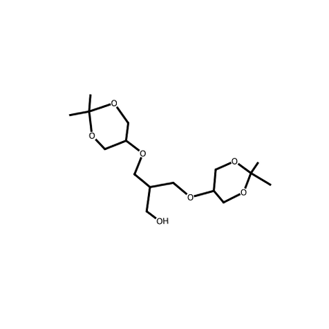 CC1(C)OCC(OCC(CO)COC2COC(C)(C)OC2)CO1